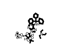 CC1(C)O[C@@H]2[C@H](O1)[C@@H](CO[PH](=O)O)O[C@H]2n1cnc2c(NC(c3ccccc3)(c3ccccc3)c3ccccc3)ncnc21.CCN(CC)CC